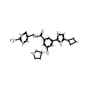 O=C(NCc1cnc(C(F)(F)F)nc1)c1cc(O[C@@H]2CCOC2)cc(-c2ncc(C3CCC3)s2)c1